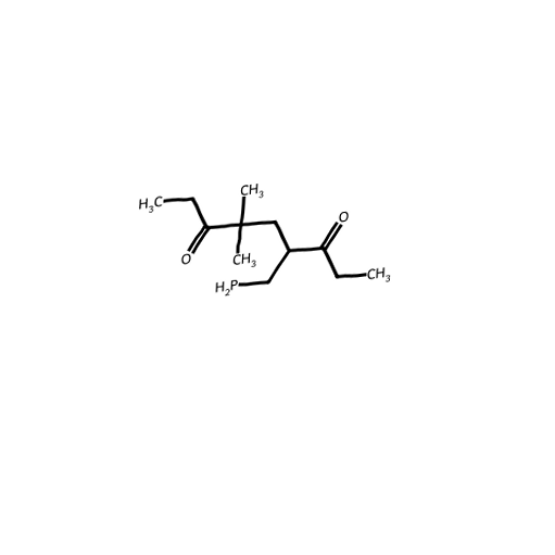 CCC(=O)C(CP)CC(C)(C)C(=O)CC